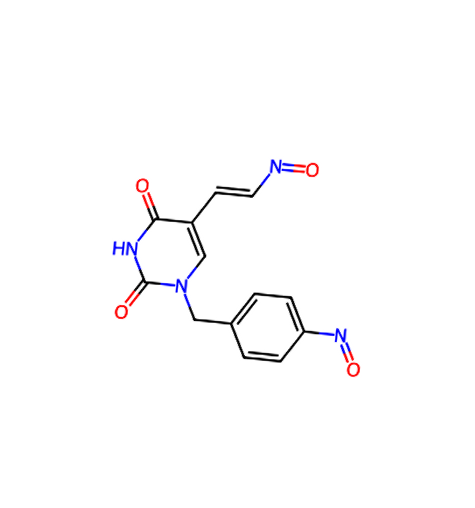 O=N/C=C/c1cn(Cc2ccc(N=O)cc2)c(=O)[nH]c1=O